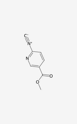 [C-]#[N+]c1ccc(C(=O)OC)cn1